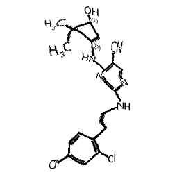 CC1(C)[C@@H](O)C[C@H]1Nc1nc(NCCc2ccc(Cl)cc2Cl)ncc1C#N